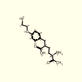 CC(=O)[C@H](N)CCC(Cc1ccc(OCC[18F])cc1)C(=O)O